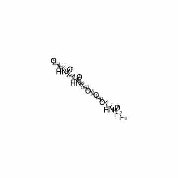 CCCCC(=O)NCCCOCCOCCOCCCNC(=O)CCCC(=O)NC/C=C/C=O